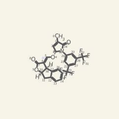 CC1=C[C@@H](O/C=C2/C(=O)O[C@@H]3Cc4ccccc4[C@H]23)N(c2cc(C(F)(F)F)cc(C(F)(F)F)c2)C1=O